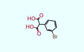 O=C(O)C(C(=O)O)c1cccc(Br)c1